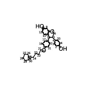 Oc1ccc(C2COc3cc(O)ccc3C2c2ccc(OCCCCN3CCCCC3)cc2)cc1